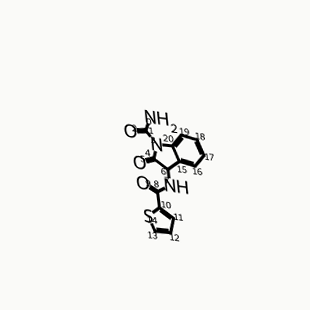 NC(=O)N1C(=O)C(NC(=O)c2cccs2)c2ccccc21